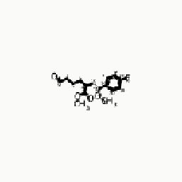 COC(=O)C(CCCC=O)C[C@@H](OC)c1ccc(F)cc1